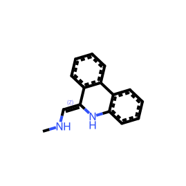 CN/C=C1\Nc2ccccc2-c2ccccc21